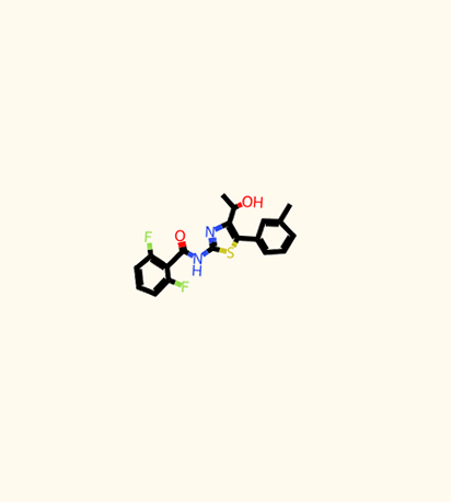 Cc1cccc(-c2sc(NC(=O)c3c(F)cccc3F)nc2C(C)O)c1